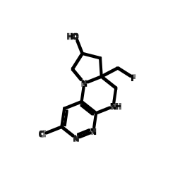 OC1CN2c3cc(Cl)nnc3NCC2(CF)C1